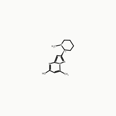 Cc1cc(O)nc2cc([C@@H]3CCCCN3C)nn12